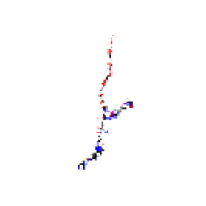 COCCOCCOCCOCCOCCOCCOCCOCCNC(=O)[C@H](CCC(=O)NCCCN1N=C(c2ccc(NC(=O)N3Cc4ccncc4C3)cc2)C(C)CC1=O)NC(=O)CCCCCN1C(=O)C=CC1=O